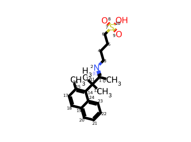 C/C(=N\CCCCS(=O)(=O)O)C(C)(C)c1c(C)ccc2ccccc12